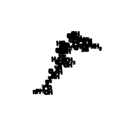 CCC[C@@H](O)CC(=O)SCCNC(=O)CCNC(=O)C(O)C(C)(C)COP(=O)(O)OP(=O)(O)OC[C@H]1O[C@@H](n2cnc3c(N)ncnc32)[C@H](O)[C@@H]1OP(=O)(O)O